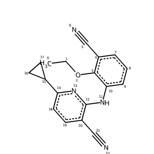 CCOc1c(C#N)cccc1Nc1nc(C2CC2)ccc1C#N